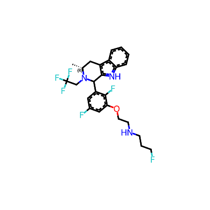 C[C@@H]1Cc2c([nH]c3ccccc23)C(c2cc(F)cc(OCCNCCCF)c2F)N1CC(F)(F)F